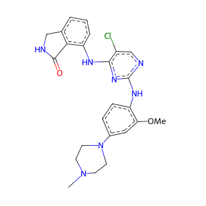 COc1cc(N2CCN(C)CC2)ccc1Nc1ncc(Cl)c(Nc2cccc3c2C(=O)NC3)n1